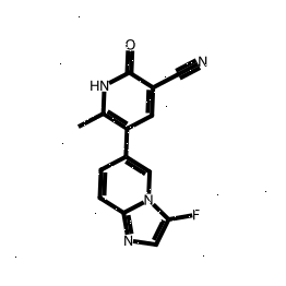 Cc1[nH]c(=O)c(C#N)cc1-c1ccc2ncc(F)n2c1